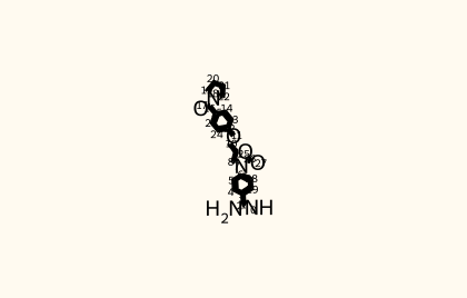 N=C(N)c1ccc(N2CC(COc3ccc(C(=O)N4CCCC4)cc3)OC2=O)cc1